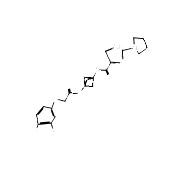 O=C(COc1ccc(Cl)c(F)c1)NC12CC(NC(=O)C3CNC(N4CCCC4)S3)(C1)C2